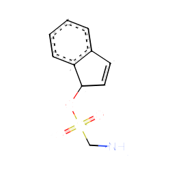 NCS(=O)(=O)OC1C=Cc2ccccc21